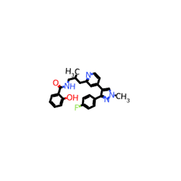 CC(CNC(=O)c1ccccc1O)Cc1cc(-c2cn(C)nc2-c2ccc(F)cc2)ccn1